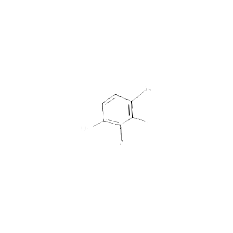 Oc1ccc(Br)c(Cl)c1F